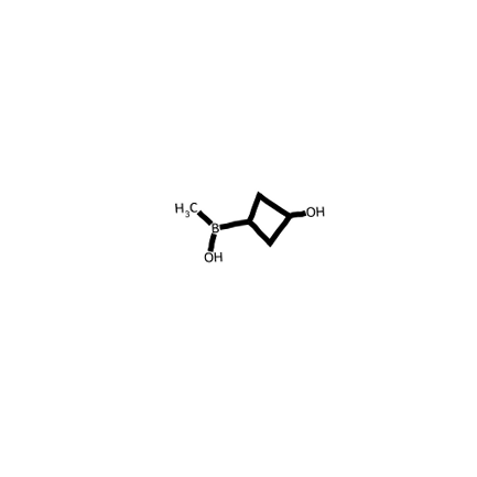 CB(O)C1CC(O)C1